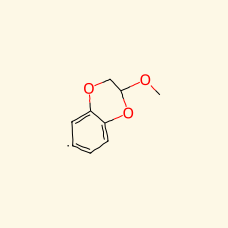 COC1COc2c[c]ccc2O1